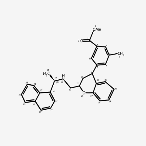 COC(=O)c1cc(C)cc(C2CC(CN[C@H](C)c3cccc4ccccc34)Oc3ccccc32)c1